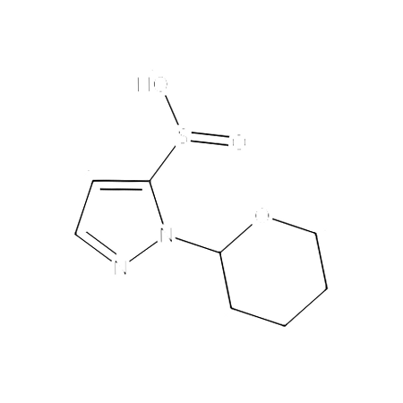 O=S(O)c1ccnn1C1CCCCO1